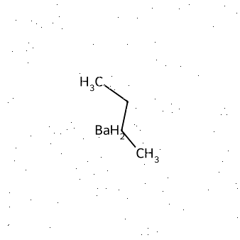 CCCC.[BaH2]